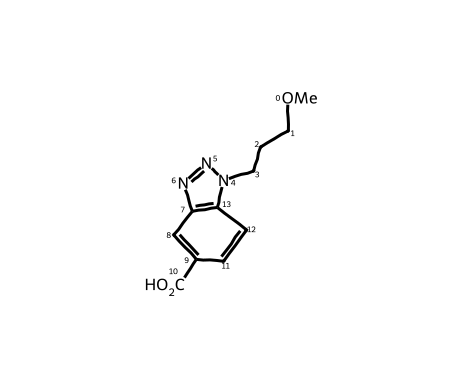 COCCCn1nnc2cc(C(=O)O)ccc21